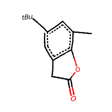 Cc1cc(C(C)(C)C)cc2c1OC(=O)C2